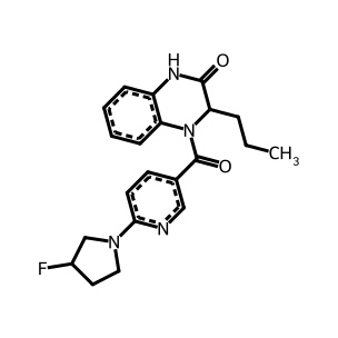 CCCC1C(=O)Nc2ccccc2N1C(=O)c1ccc(N2CCC(F)C2)nc1